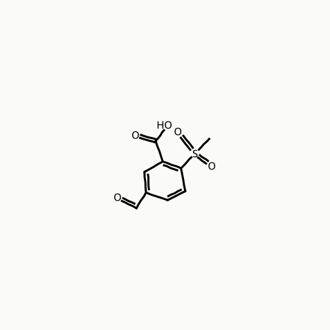 CS(=O)(=O)c1ccc(C=O)cc1C(=O)O